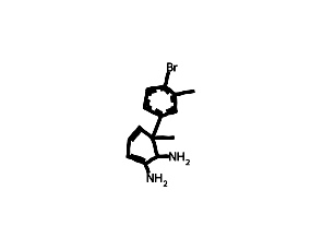 Cc1cc(C2(C)C=CC=C(N)C2N)ccc1Br